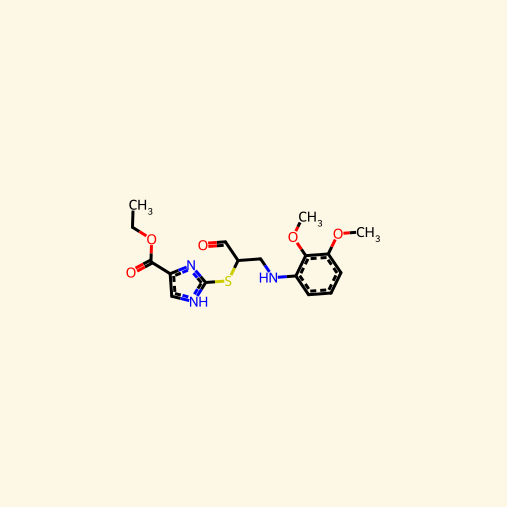 CCOC(=O)c1c[nH]c(SC(C=O)CNc2cccc(OC)c2OC)n1